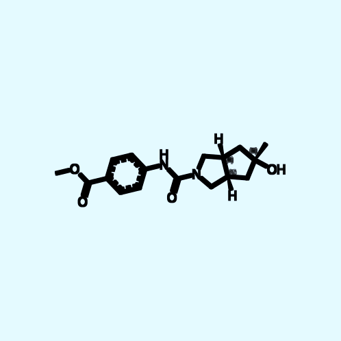 COC(=O)c1ccc(NC(=O)N2C[C@@H]3C[C@](C)(O)C[C@@H]3C2)cc1